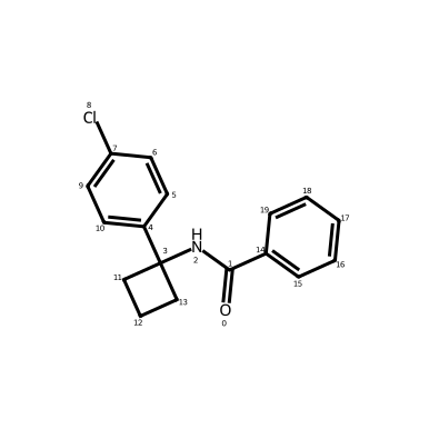 O=C(NC1(c2ccc(Cl)cc2)CCC1)c1ccccc1